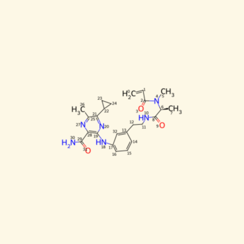 C=CC(=O)N(C)[C@@H](C)C(=O)NCCc1cccc(Nc2nc(C3CC3)c(C)nc2C(N)=O)c1